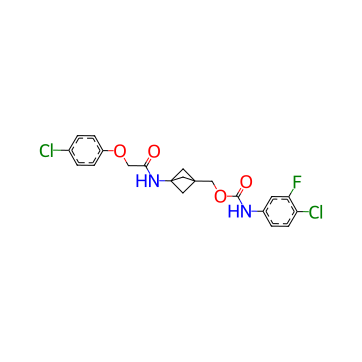 O=C(COc1ccc(Cl)cc1)NC12CC(COC(=O)Nc3ccc(Cl)c(F)c3)(C1)C2